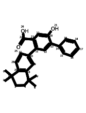 CC1(C)CCC(C)(C)c2cc(-c3cc(-c4ccccc4)c(O)cc3C(=O)O)ccc21